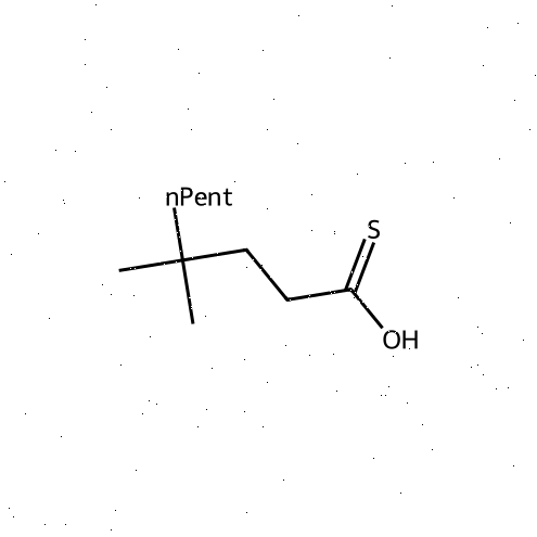 CCCCCC(C)(C)CCC(O)=S